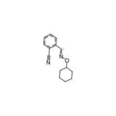 N#Cc1ccccc1/[C]=N/OC1CCCCC1